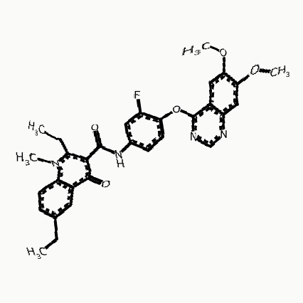 CCc1ccc2c(c1)c(=O)c(C(=O)Nc1ccc(Oc3ncnc4cc(OC)c(OC)cc34)c(F)c1)c(CC)n2C